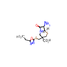 NC1C(=O)N2CC(CSc3nnc(CC(=O)O)o3)(C(=O)O)CS[C@H]12